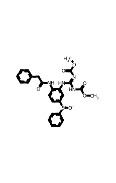 COC(=O)/N=C(/NC(=O)OC)Nc1cc([S+]([O-])c2ccccc2)ccc1NC(=O)Cc1ccccc1